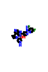 O[C@@H]1CNCC[C@H]1Nc1nc(-c2ccnc(Nc3ncc(F)cc3F)c2)nc2cncc(C3CCC3)c12